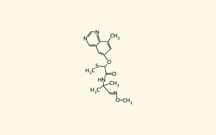 CON=CC(C)(C)NC(=O)C(Oc1cc(C)c2ncncc2c1)SC